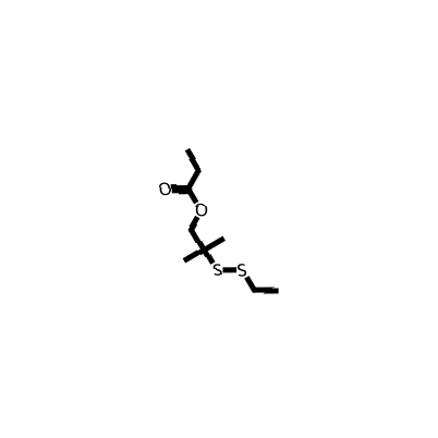 CCSSC(C)(C)COC(=O)CC